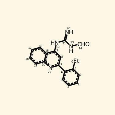 CCc1ccccc1-c1cc(NC(=N)NC=O)c2ccccc2n1